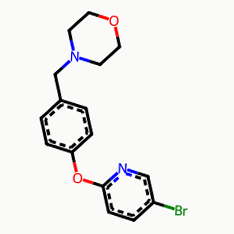 Brc1ccc(Oc2ccc(CN3CCOCC3)cc2)nc1